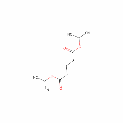 N#CC(C#N)OC(=O)CCCC(=O)OC(C#N)C#N